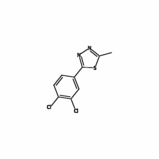 Cc1nnc(-c2ccc(Cl)c(Cl)c2)s1